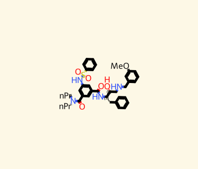 CCCN(CCC)C(=O)c1cc(NS(=O)(=O)c2ccccc2)cc(C(=O)N[C@@H](Cc2ccccc2)[C@H](O)CNCc2cccc(OC)c2)c1